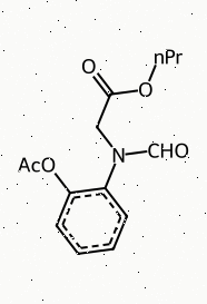 CCCOC(=O)CN(C=O)c1ccccc1OC(C)=O